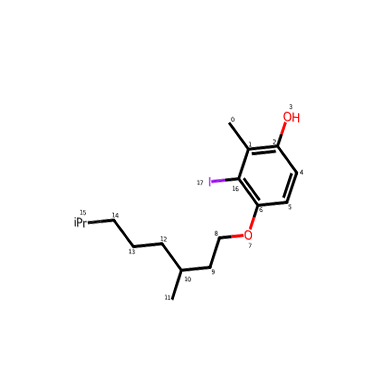 Cc1c(O)ccc(OCCC(C)CCCC(C)C)c1I